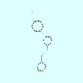 COc1ccc(-n2cnc(OCc3cscn3)n2)cc1